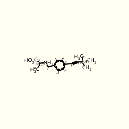 C[C@H](NCc1ccc(C#C[Si](C)(C)C)cc1)C(=O)O